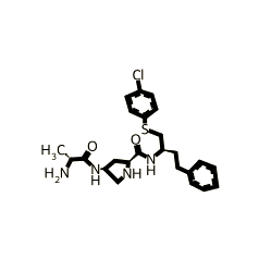 C[C@@H](N)C(=O)N[C@H]1CN[C@H](C(=O)N[C@H](CCc2ccccc2)CSc2ccc(Cl)cc2)C1